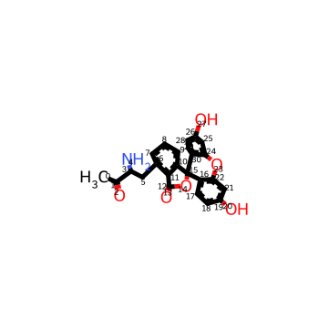 CC(=O)C(N)Cc1cccc2c1C(=O)OC21c2ccc(O)cc2Oc2cc(O)ccc21